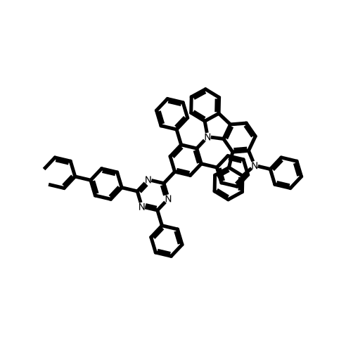 C/C=C\C(=C/C)c1ccc(-c2nc(-c3ccccc3)nc(-c3cc(-c4ccccc4)c(-n4c5ccccc5c5ccc6c(c7ccccc7n6-c6ccccc6)c54)c(-c4ccccc4)c3)n2)cc1